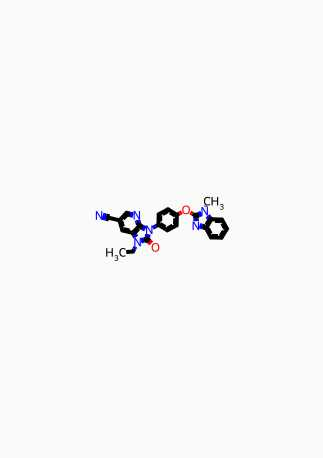 CCn1c(=O)n(-c2ccc(Oc3nc4ccccc4n3C)cc2)c2ncc(C#N)cc21